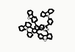 c1ccc(-n2c3ccccc3c3cccc(-c4ccc(-c5ccc6oc7cccc(-c8nc(-c9cccc(-c%10ccc%11c(c%10)oc%10ccccc%10%11)c9)nc(-c9cccc(-n%10c%11ccccc%11c%11ccccc%11%10)c9)n8)c7c6c5)c5c4oc4ccccc45)c32)cc1